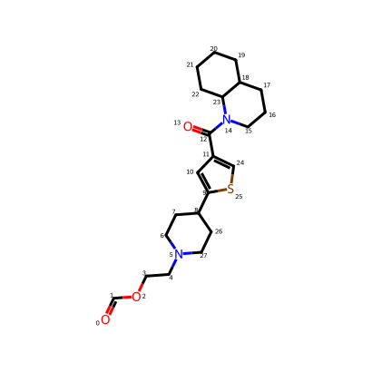 O=COCCN1CCC(c2cc(C(=O)N3CCCC4CCCCC43)cs2)CC1